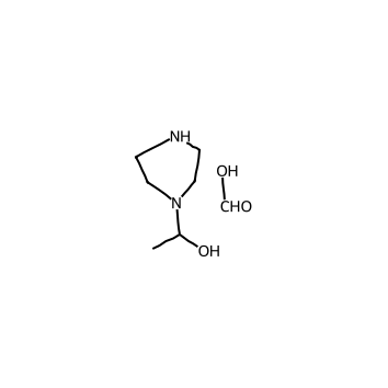 CC(O)N1CCNCC1.O=CO